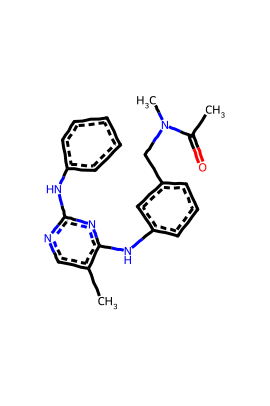 CC(=O)N(C)Cc1cccc(Nc2nc(Nc3ccccc3)ncc2C)c1